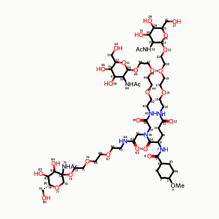 COC1CCC(C(=O)NC(CCC(=O)NCCOCCOCCOC2OC(CO)C(O)C(O)C2NC(C)=O)C(=O)N(CC(=O)NCCOCCOCCOC2OC(CO)C(O)C(O)C2NC(C)=O)CC(=O)NCCOCCOCCOC2(NC(C)=O)CO[C@H](CO)C(O)C2O)CC1